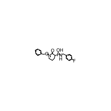 O=C1C(P(O)NCc2ccc(F)cc2)CCCN1OCc1ccccc1